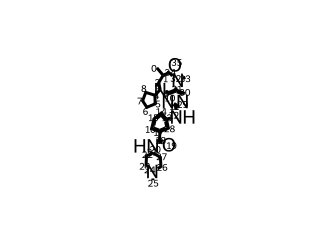 CC1CN(C2CCCC2)c2nc(Nc3cccc(C(=O)NC4CCN(C)CC4)c3)ncc2N(C)C1=O